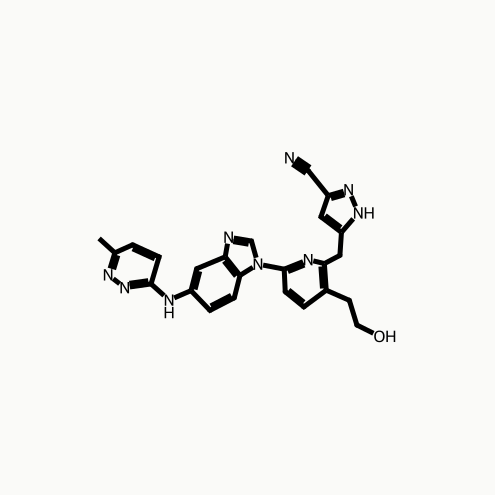 Cc1ccc(Nc2ccc3c(c2)ncn3-c2ccc(CCO)c(Cc3cc(C#N)n[nH]3)n2)nn1